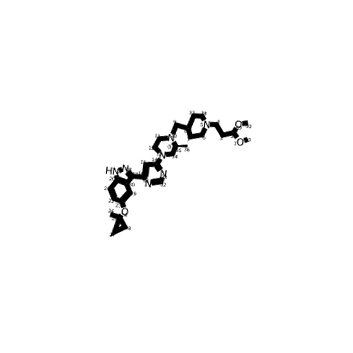 COC(CCN1CCC(CN2CCN(c3cc(-c4n[nH]c5ccc(OC6(C)CC6)cc45)ncn3)C[C@@H]2C)CC1)OC